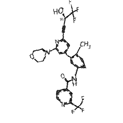 Cc1ccc(NC(=O)c2ccnc(C(F)(F)F)c2)cc1-c1cc(C#C[C@@H](O)C(F)(F)F)nc(N2CCOCC2)c1